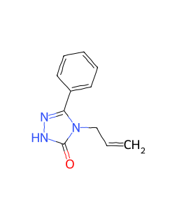 C=CCn1c(-c2ccccc2)n[nH]c1=O